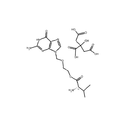 CC(C)[C@H](N)C(=O)OCCOCn1cnc2c(=O)[nH]c(N)nc21.O=C(O)CC(O)(CC(=O)O)C(=O)O